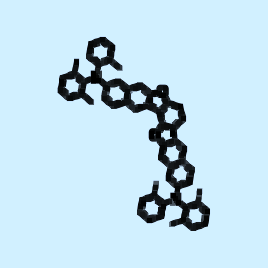 Cc1ccccc1N(c1ccc2cc3c(cc2c1)oc1c3ccc2oc3cc4cc(N(c5ccccc5C)c5c(C)cccc5C)ccc4cc3c21)c1c(C)cccc1C